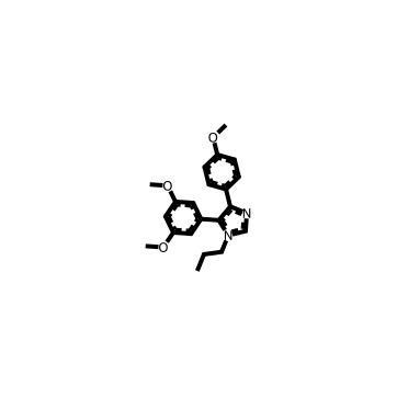 CCCn1cnc(-c2ccc(OC)cc2)c1-c1cc(OC)cc(OC)c1